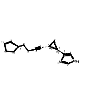 C(#C[C@@H]1C[C@H]1c1c[nH]cn1)CCC1CCCC1